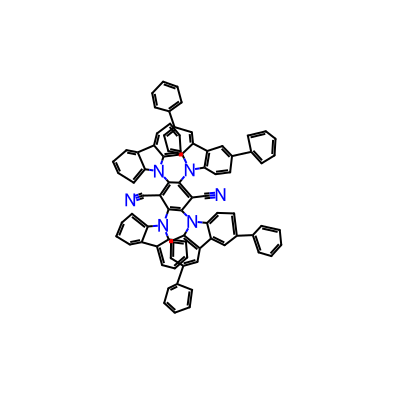 N#Cc1c(-n2c3ccccc3c3ccccc32)c(-n2c3ccc(-c4ccccc4)cc3c3cc(-c4ccccc4)ccc32)c(C#N)c(-n2c3ccc(-c4ccccc4)cc3c3cc(-c4ccccc4)ccc32)c1-n1c2ccccc2c2ccccc21